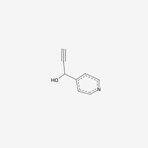 C#CC(O)c1ccncc1